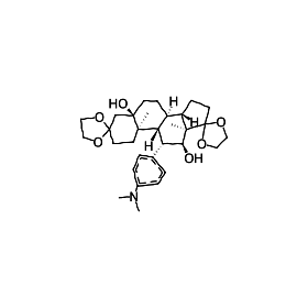 CN(C)c1ccc([C@@H]2[C@H]3[C@@H](CC[C@@]4(O)CC5(CC[C@]34C)OCCO5)[C@@H]3CCC4(OCCO4)[C@@]3(C)[C@H]2O)cc1